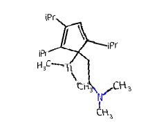 CC(C)C1=CC(C(C)C)=C(C(C)C)[C]1(CCN(C)C)[Ti]([CH3])[CH3]